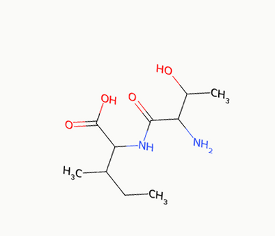 CCC(C)C(NC(=O)C(N)C(C)O)C(=O)O